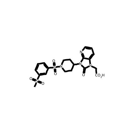 CS(=O)(=O)c1cccc(S(=O)(=O)N2CCC(n3c(=O)n(CC(=O)O)c4cccnc43)CC2)c1